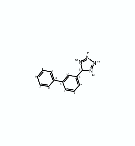 c1ccc(-c2cccc(C3N=NN=N3)c2)cc1